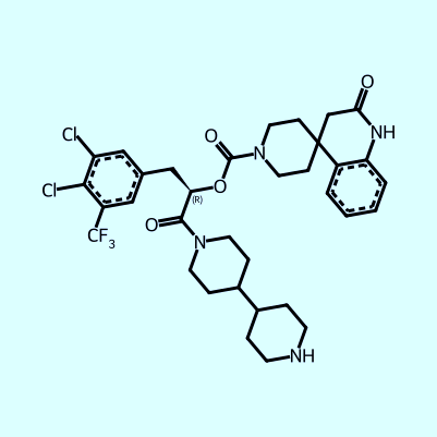 O=C1CC2(CCN(C(=O)O[C@H](Cc3cc(Cl)c(Cl)c(C(F)(F)F)c3)C(=O)N3CCC(C4CCNCC4)CC3)CC2)c2ccccc2N1